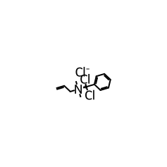 C=CC[N+](C)(C)C(Cl)(Cl)c1ccccc1.[Cl-]